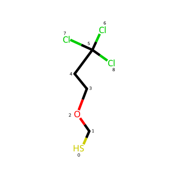 SCOCCC(Cl)(Cl)Cl